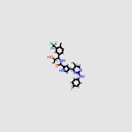 Cc1ccc(C(NC(=O)c2cc(-c3nc(Nc4ccc(F)cc4)ncc3C)c[nH]2)C(C)O)cc1C(F)(F)F